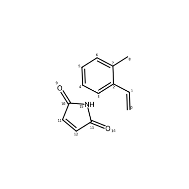 C=Cc1ccccc1C.O=C1C=CC(=O)N1